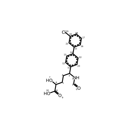 O=CNC(CCC(O)C(=O)O)c1ccc(-c2cccc(Cl)c2)cc1